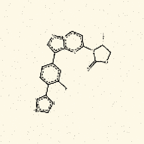 O=C1OC[C@@H](I)N1c1ccn2ncc(-c3ccc(-c4nc[nH]n4)c(F)c3)c2n1